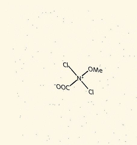 CO[N+](Cl)(Cl)C(=O)[O-]